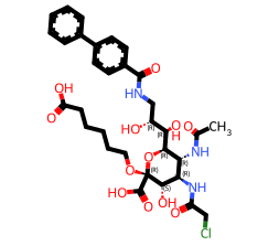 CC(=O)N[C@@H]1[C@@H](NC(=O)CCl)[C@H](O)[C@](OCCCCCC(=O)O)(C(=O)O)O[C@H]1[C@H](O)[C@H](O)CNC(=O)c1ccc(-c2ccccc2)cc1